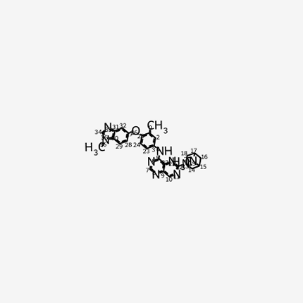 Cc1cc(Nc2ncnc3cnc(N4CC5CC(C4)N5C)nc23)ccc1Oc1ccc2c(c1)ncn2C